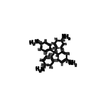 NC1=CCC(C(c2ccc(N)cc2)(c2ccc(N)cc2)c2ccc(N)cc2)C=C1